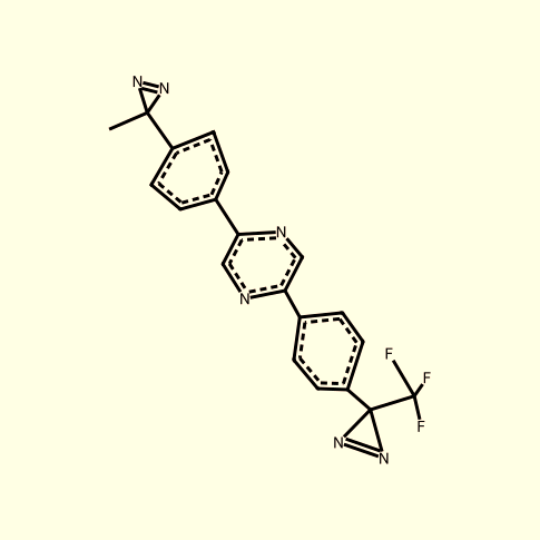 CC1(c2ccc(-c3cnc(-c4ccc(C5(C(F)(F)F)N=N5)cc4)cn3)cc2)N=N1